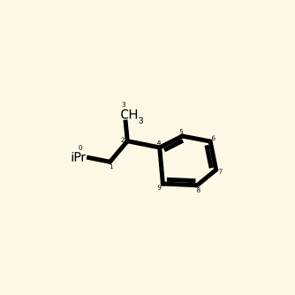 CC(C)CC(C)c1ccccc1